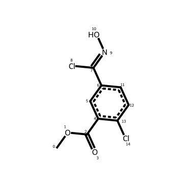 COC(=O)c1cc(/C(Cl)=N/O)ccc1Cl